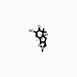 Cn1cc2c(n1)[C@@]1(C)C=C(C#N)C(=O)C(C)(C)[C@@H]1C2